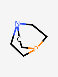 C1CP2CCN1CC2